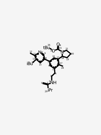 C=C(NCCc1cc(-c2cnc(C)c(C(C)CC)c2)cc(C2CCCN2C(=O)OC(C)(C)C)c1C)C(C)C